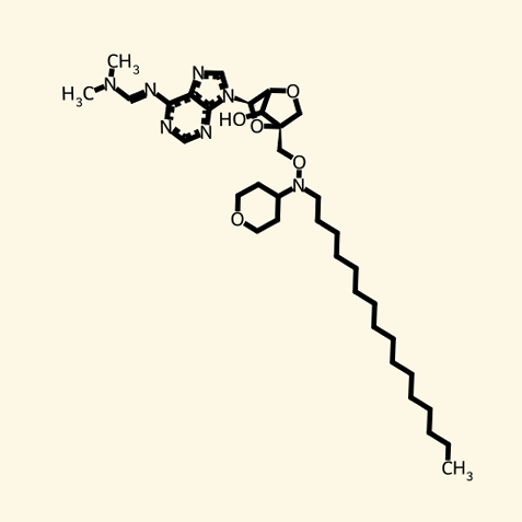 CCCCCCCCCCCCCCCCN(OC[C@]12COC(C1O)[C@H](n1cnc3c(N=CN(C)C)ncnc31)O2)C1CCOCC1